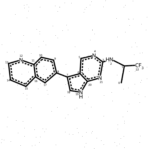 CC(Nc1ncc2c(-c3ccc4ncccc4c3)c[nH]c2n1)C(F)(F)F